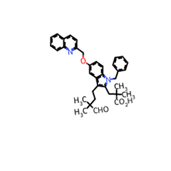 CC(C)(C=O)CCc1c(CC(C)(C)C(=O)O)n(Cc2ccccc2)c2ccc(OCc3ccc4ccccc4n3)cc12